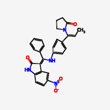 CC=C(c1ccc(NC(=C2C(=O)Nc3ccc([N+](=O)[O-])cc32)c2ccccc2)cc1)N1CCCC1=O